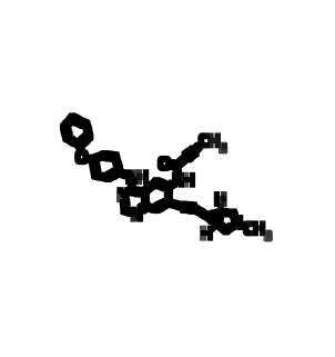 CC#CC(=O)Nc1cc2c(Nc3ccc(Oc4ccccc4)cc3)ncnc2cc1C#CC1[C@H]2CN(C)C[C@@H]12